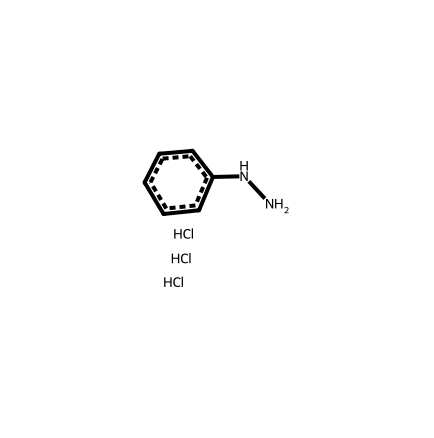 Cl.Cl.Cl.NNc1ccccc1